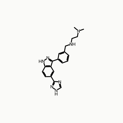 CN(C)CCNCc1cccc(-c2n[nH]c3ccc(-c4nc[nH]n4)cc23)c1